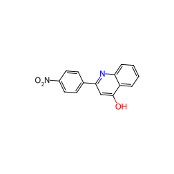 O=[N+]([O-])c1ccc(-c2cc(O)c3ccccc3n2)cc1